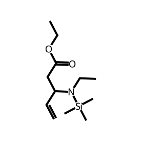 C=CC(CC(=O)OCC)N(CC)[Si](C)(C)C